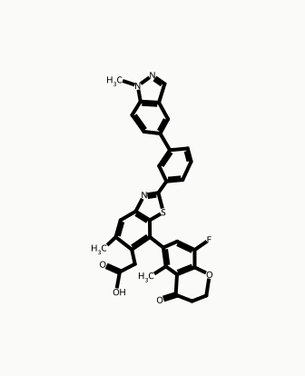 Cc1cc2nc(-c3cccc(-c4ccc5c(cnn5C)c4)c3)sc2c(-c2cc(F)c3c(c2C)C(=O)CCO3)c1CC(=O)O